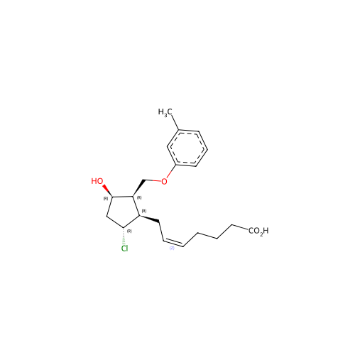 Cc1cccc(OC[C@H]2[C@@H](C/C=C\CCCC(=O)O)[C@H](Cl)C[C@H]2O)c1